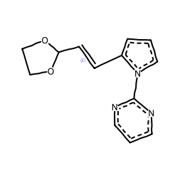 C(=C\C1OCCO1)/c1cccn1-c1ncccn1